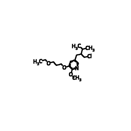 CCOCCCOc1cc(CC(CCl)C(C)C)cnc1OC